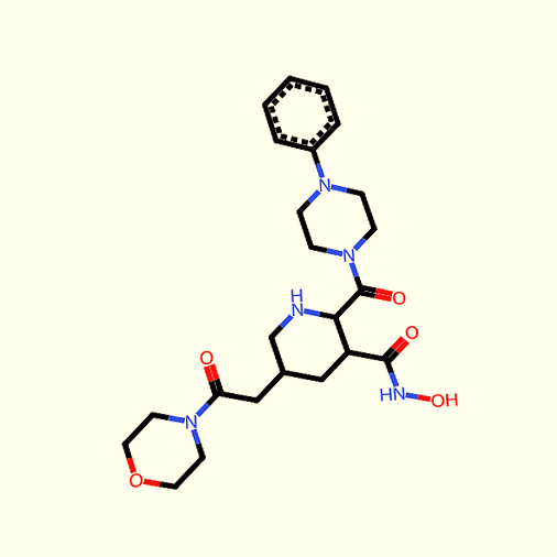 O=C(NO)C1CC(CC(=O)N2CCOCC2)CNC1C(=O)N1CCN(c2ccccc2)CC1